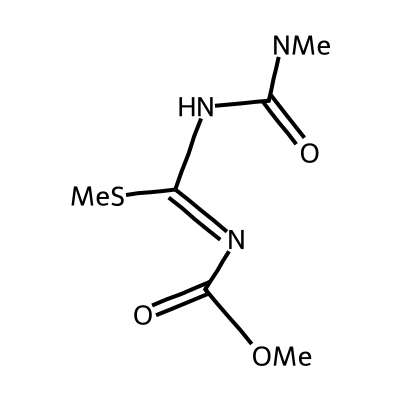 CNC(=O)N/C(=N/C(=O)OC)SC